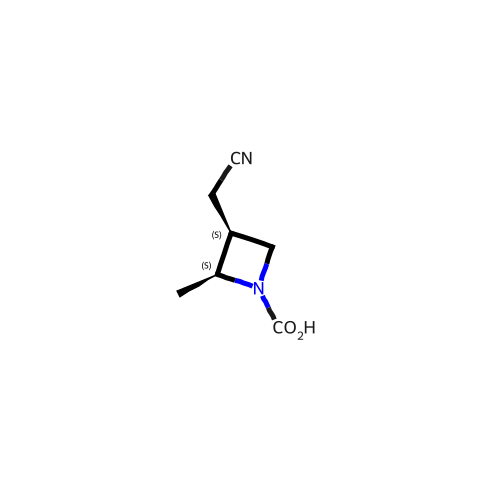 C[C@H]1[C@@H](CC#N)CN1C(=O)O